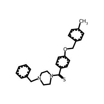 Cc1ccc(COc2ccc(C(=S)N3CCN(Cc4ccccc4)CC3)cc2)cc1